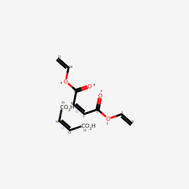 C=COC(=O)/C=C\C(=O)OC=C.O=C(O)/C=C\C(=O)O